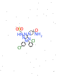 CC1(C(N)=O)CCN(c2nc(NCCS(C)(=O)=O)nc3c2nc(-c2ccccc2Cl)n3-c2ccc(Cl)cc2)CC1